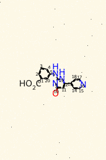 O=C(O)c1cccc(Nc2nc(=O)cc(-c3ccncc3)[nH]2)c1